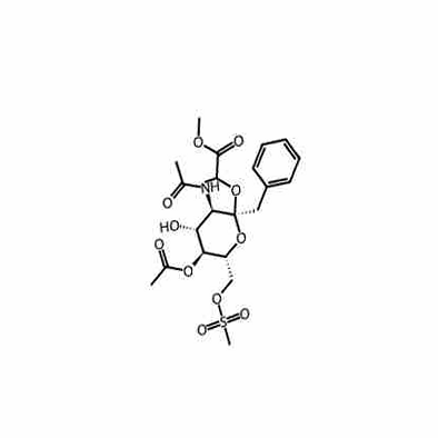 COC(=O)C(C)O[C@@]1(Cc2ccccc2)O[C@H](COS(C)(=O)=O)[C@@H](OC(C)=O)[C@H](O)[C@H]1NC(C)=O